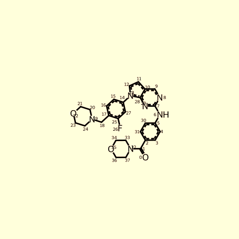 O=C(c1ccc(Nc2ncc3ccn(-c4ccc(CN5CCOCC5)c(F)c4)c3n2)cc1)N1CCOCC1